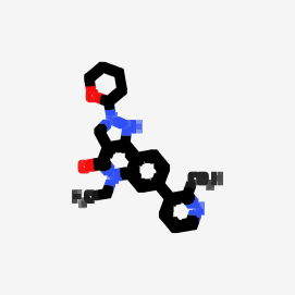 O=C(O)c1ncccc1-c1ccc2c3c(c(=O)n(CC(F)(F)F)c2c1)CN(C1CCCCO1)N3